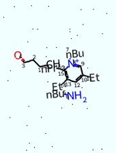 CCCC=O.CCCCN.CCCC[n+]1cc(CC)cc(CC)c1CCC